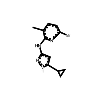 Cc1ccc(Br)nc1Nc1cc(C2CC2)[nH]n1